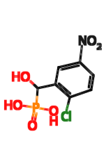 O=[N+]([O-])c1ccc(Cl)c(C(O)P(=O)(O)O)c1